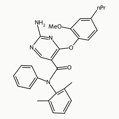 CCCc1ccc(Oc2nc(N)ncc2C(=O)N(c2ccccc2)c2c(C)cccc2C)c(OC)c1